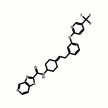 O=C(NC1CCC(=CCc2cccc(Oc3ccc(C(F)(F)F)cn3)c2)CC1)c1nc2cnccc2s1